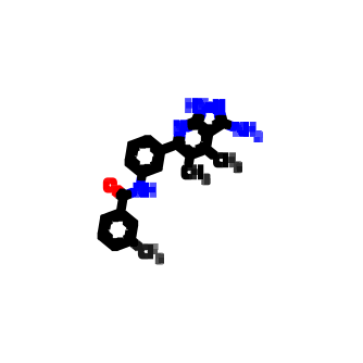 Cc1c(-c2cccc(NC(=O)c3cccc(C(F)(F)F)c3)c2)nc2[nH]nc(N)c2c1C